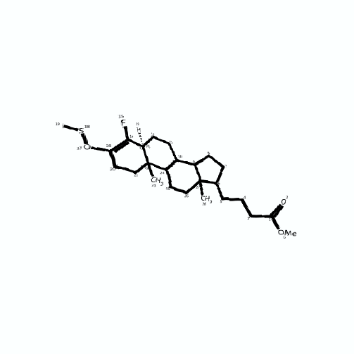 COC(=O)CCCC1CCC2C3CC[C@@H]4C(F)=C(OSI)CCC4(C)C3CCC12C